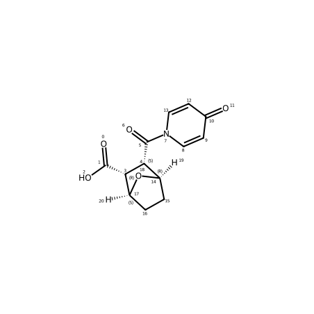 O=C(O)[C@@H]1[C@H](C(=O)n2ccc(=O)cc2)[C@H]2CC[C@@H]1O2